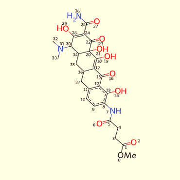 COC(=O)CCC(=O)Nc1ccc2c(c1O)C(=O)C1=C(O)C3(O)C(=O)C(C(N)=O)=C(O)C(N(C)C)C3CC1C2